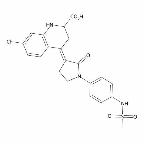 CS(=O)(=O)Nc1ccc(N2CCC(=C3CC(C(=O)O)Nc4cc(Cl)ccc43)C2=O)cc1